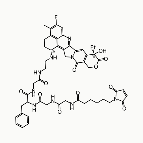 CC[C@@]1(O)C(=O)OCc2c1cc1n(c2=O)Cc2c-1nc1cc(F)c(C)c3c1c2[C@@H](NCCNC(=O)CNC(=O)C(Cc1ccccc1)NC(=O)CNC(=O)CNC(=O)CCCCCN1C(=O)C=CC1=O)CC3